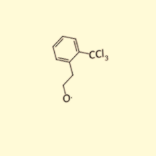 [O]CCc1ccccc1C(Cl)(Cl)Cl